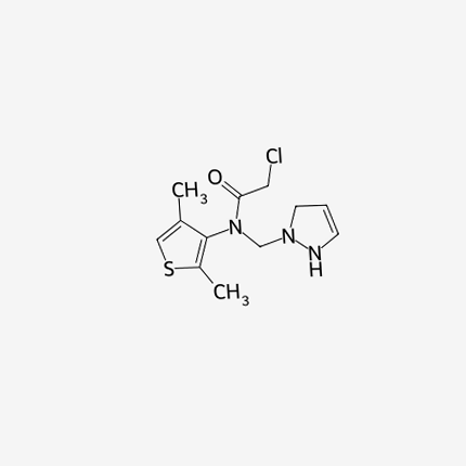 Cc1csc(C)c1N(CN1CC=CN1)C(=O)CCl